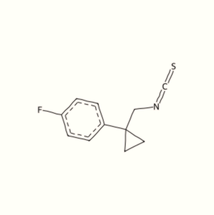 Fc1ccc(C2(CN=C=S)CC2)cc1